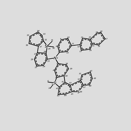 C[Si]1(C)c2cc(N(c3cccc(-c4ccc5ccccc5c4)c3)c3cccc4c3[Si](C)(C)c3ccccc3-4)ccc2-c2c1ccc1sc3ccccc3c21